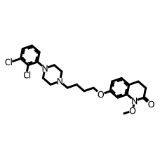 CON1C(=O)CCc2ccc(OCCCCN3CCN(c4cccc(Cl)c4Cl)CC3)cc21